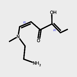 C/C=C(\O)C(=O)/C=C\N(C)CCN